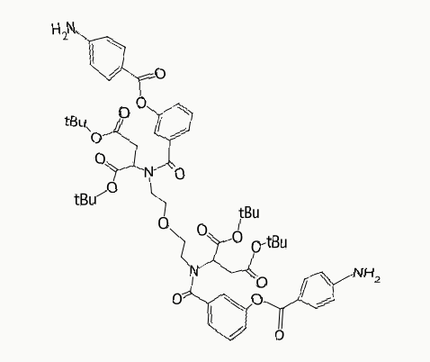 CC(C)(C)OC(=O)CC(C(=O)OC(C)(C)C)N(CCOCCN(C(=O)c1cccc(OC(=O)c2ccc(N)cc2)c1)C(CC(=O)OC(C)(C)C)C(=O)OC(C)(C)C)C(=O)c1cccc(OC(=O)c2ccc(N)cc2)c1